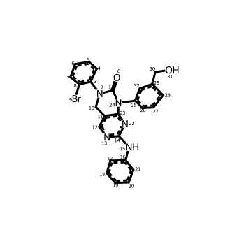 O=C1N(c2ccccc2Br)Cc2cnc(Nc3ccccc3)nc2N1c1cccc(CO)c1